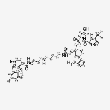 Cc1ncsc1-c1ccc(CNC(=O)C2C[C@@H](O)CN2C(=O)[C@@H](NC(=O)C2(F)CC2)C(C)(C)C)c(OCC(=O)NCCCCCNCCCONC(=O)c2ccc(F)c(F)c2Nc2ccc(I)cc2F)c1